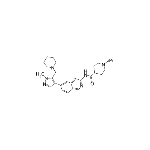 CC(C)N1CCC(C(=O)Nc2cc3cc(-c4cnn(C)c4CN4CCCCC4)ccc3cn2)CC1